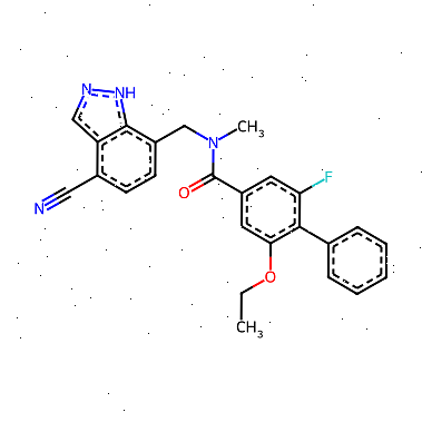 CCOc1cc(C(=O)N(C)Cc2ccc(C#N)c3cn[nH]c23)cc(F)c1-c1ccccc1